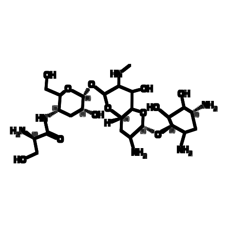 CNC1C(O[C@H]2OC(CO)[C@@H](NC(=O)[C@H](N)CO)C[C@H]2O)O[C@H]2CC(N)[C@@H](O[C@@H]3C(N)C[C@@H](N)C(O)C3O)OC2C1O